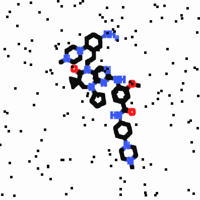 COc1cc(C(=O)N[C@H]2CC[C@H](N3CCN(C)CC3)CC2)ccc1Nc1ncc2c(n1)N(C1CCCC1)CC1(CC1)C(=O)N2CCC1C[C@@H](N)CCC1N1CCN(C)CC1